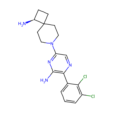 Nc1nc(N2CCC3(CC[C@@H]3N)CC2)cnc1-c1cccc(Cl)c1Cl